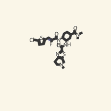 CN1CCc2nc(C(=O)N[C@@H]3CC(C(=O)N(C)C)CC[C@@H]3NC(=O)/C(F)=C/c3ccc(Cl)s3)sc2C1